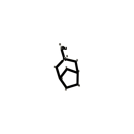 CCC(C)N1CC2CCC(C2)C1